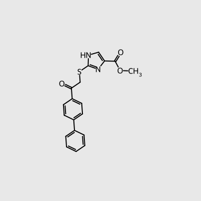 COC(=O)c1c[nH]c(SCC(=O)c2ccc(-c3ccccc3)cc2)n1